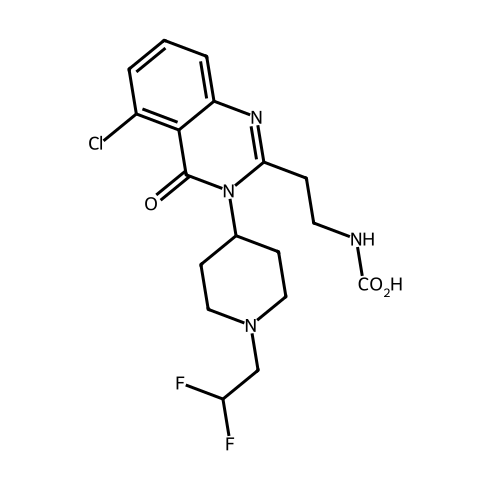 O=C(O)NCCc1nc2cccc(Cl)c2c(=O)n1C1CCN(CC(F)F)CC1